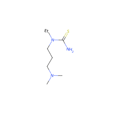 CCN(CCCN(C)C)C(N)=S